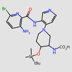 CC(C)(C)[Si](C)(C)OC1CCN(c2ccncc2NC(=O)c2nc(Br)ccc2N)CC1NC(=O)O